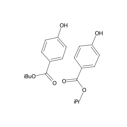 CC(C)COC(=O)c1ccc(O)cc1.CC(C)OC(=O)c1ccc(O)cc1